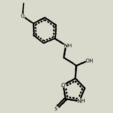 COc1ccc(NCC(O)c2c[nH]c(=S)o2)cc1